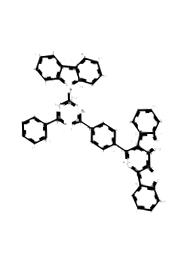 c1ccc(-c2nc(-c3ccc(-c4nc5c6ccccc6oc5c5oc6ccccc6c45)cc3)nc(-n3c4ccccc4c4ccccc43)n2)cc1